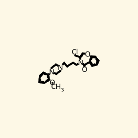 COc1ccccc1N1CCN(CCCCN2C(=O)c3ccccc3OC=C2CCl)CC1